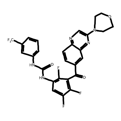 O=C(Nc1cccc(C(F)(F)F)c1)Nc1cc(F)c(F)c(C(=O)c2ccc3ncc(N4CCOCC4)nc3c2)c1F